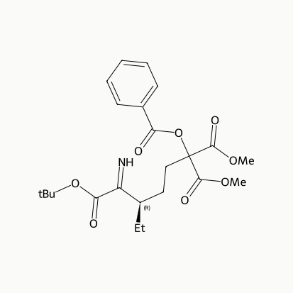 CC[C@H](CCC(OC(=O)c1ccccc1)(C(=O)OC)C(=O)OC)C(=N)C(=O)OC(C)(C)C